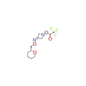 O=C(ON1CC(=NOC[C@@H]2CCCCO2)C1)C(F)(F)F